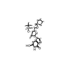 CC(C)(C)[Si](C)(C)O[C@H]1[C@@H](F)[C@H](n2cnc3c(=O)[nH]c(O)nc32)O[C@@H]1COP1(=S)SCCS1